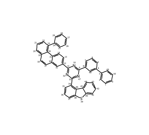 c1ccc(-c2cccc(-c3nc(-c4ccc5c(ccc6cccc(-c7ccccc7)c65)c4)nc(-c4cccc5sc6ccccc6c45)n3)c2)cc1